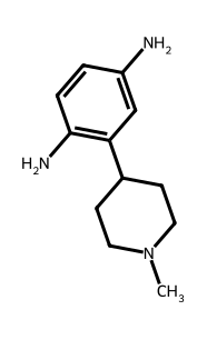 CN1CCC(c2cc(N)ccc2N)CC1